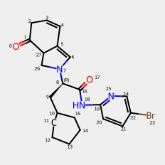 O=C1CC=CC2=CN([C@H](CC3CCCCC3)C(=O)Nc3ccc(Br)cn3)CC12